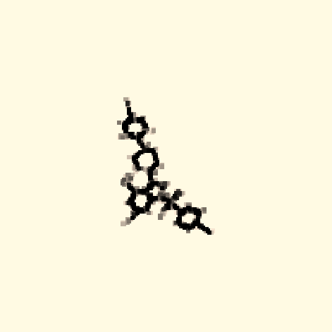 Cc1ccc(S(=O)(=O)n2nc(N3CCN(c4ncc(F)cn4)C[C@H]3C)c3c(Cl)cc(F)cc32)cc1